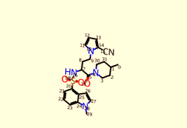 CC1CCN(C(=O)C(CCn2cccc2C#N)NS(=O)(=O)c2cccc3c2ccn3C)CC1